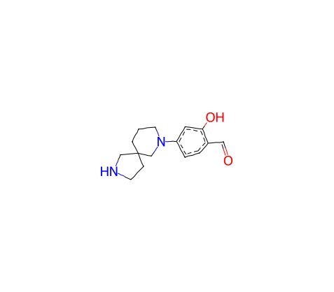 O=Cc1ccc(N2CCCC3(CCNC3)C2)cc1O